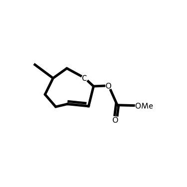 COC(=O)OC1/C=C/CCC(C)CC1